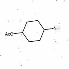 CC(=O)OC1CCC([NH])CC1